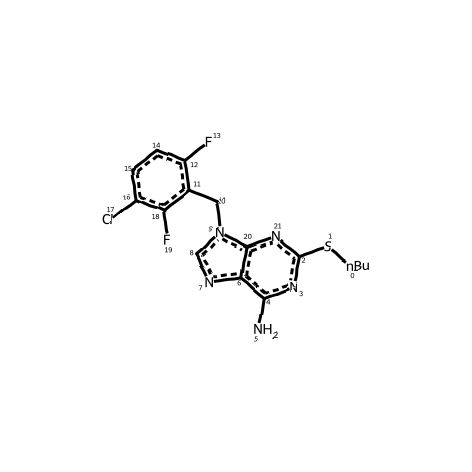 CCCCSc1nc(N)c2ncn(Cc3c(F)ccc(Cl)c3F)c2n1